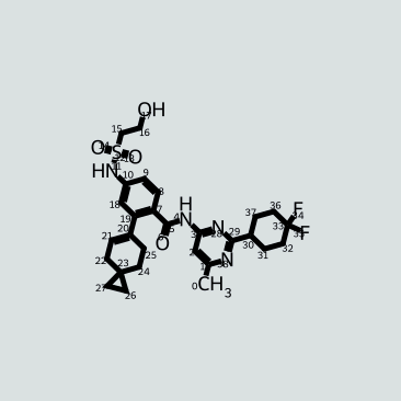 Cc1cc(NC(=O)c2ccc(NS(=O)(=O)CCO)cc2C2=CCC3(CC2)CC3)nc(C2CCC(F)(F)CC2)n1